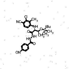 Cc1c(N[C@@H](C(=O)NNC(=O)c2ccc(N=O)cc2)[C@H](C)O[Si](C)(C)C(C)(C)C)ccc(C#N)c1Cl